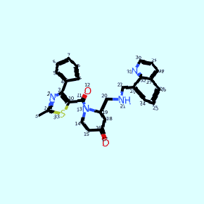 Cc1nc(-c2ccccc2)c(C(=O)N2CCC(=O)CC2CNCc2cccc3cccnc23)s1